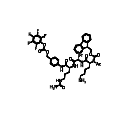 CC(=O)N(C(=O)OCC1c2ccccc2-c2ccccc21)[C@@H](CCCCN)C(=O)N[C@H](C(=O)N[C@@H](CCCNC(N)=O)C(=O)Nc1ccc(COC(=O)Oc2c(F)c(F)c(F)c(F)c2F)cc1)C(C)C